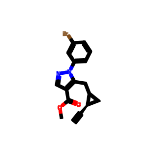 C#C[C@@H]1CC1Cc1c(C(=O)OC)cnn1-c1cccc(Br)c1